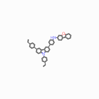 C=Cc1ccc(-c2ccc3c(c2)c2cc(-c4ccc(Nc5ccc6c(c5)oc5ccccc56)cc4)ccc2n3-c2ccc(C=C)cc2)cc1